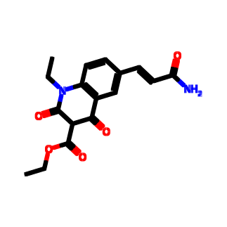 CCOC(=O)C1C(=O)c2cc(C=CC(N)=O)ccc2N(CC)C1=O